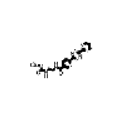 CC(C)(C)OC(=O)NCCNC(=O)c1ccc(-c2nnc(-c3ncccn3)nn2)nc1